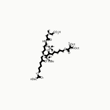 CCCCCCCCCCC(=O)OCCCCC(CN(CCCCNC(=O)CN(C)CC(=O)O)CC(CCCCCOC(=O)C(CCCCCCCC)CCCCCCCC)O[Si](C)(C)C(C)(C)C)O[Si](C)(C)C(C)(C)C